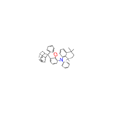 CC1(C)CCC(C)(C)c2c(N(c3ccccc3)c3cccc4c3Oc3ccccc3C43C4CC5CC6CC3C64C5)cccc21